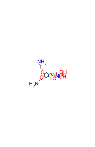 NCCCCOc1cc2cc(S(=O)(=O)NCP(=O)(O)O)sc2cc1OCCCN